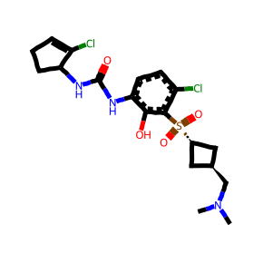 CN(C)C[C@H]1C[C@H](S(=O)(=O)c2c(Cl)ccc(NC(=O)NC3CCC=C3Cl)c2O)C1